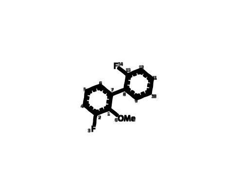 COc1c(F)cccc1-c1ccc[c]c1F